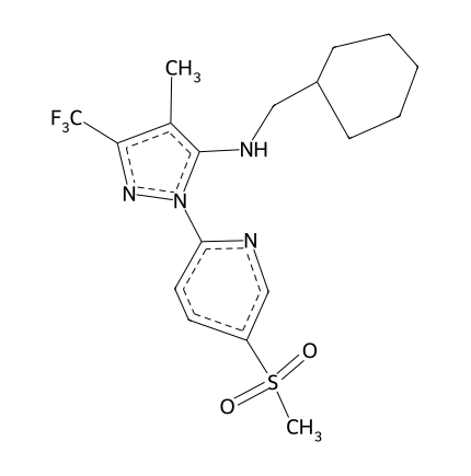 Cc1c(C(F)(F)F)nn(-c2ccc(S(C)(=O)=O)cn2)c1NCC1CCCCC1